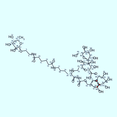 C[C@@H]1O[C@@H](OCCNC(=O)CCCCC(=O)NCCCC[C@H](NCC[C@H]2O[C@H](C(O)O[C@H]3O[C@H](CO)[C@@H](O)[C@H](O)[C@@H]3O)[C@@H](O)[C@@](O)([C@H]3O[C@H](CO)[C@@H](O)[C@H](O)[C@@H]3O)[C@@H]2O)C(=O)NC(=O)OCc2ccccc2)[C@@H](O)[C@H](O)[C@@H]1O